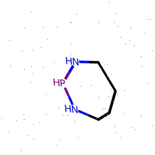 C1CCNPNC1